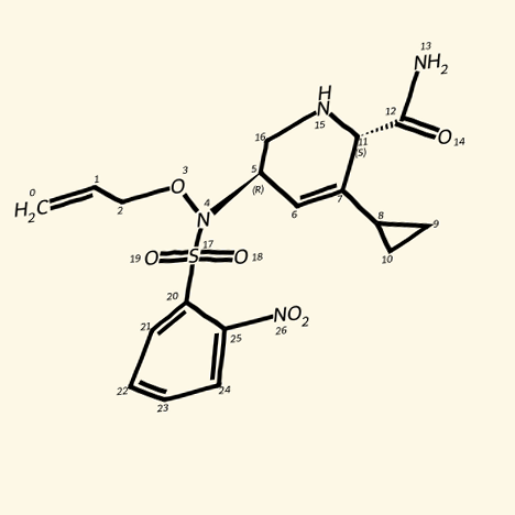 C=CCON([C@@H]1C=C(C2CC2)[C@@H](C(N)=O)NC1)S(=O)(=O)c1ccccc1[N+](=O)[O-]